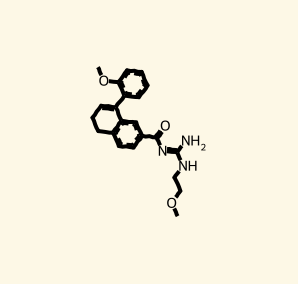 COCCN/C(N)=N/C(=O)c1ccc2c(c1)C(c1ccccc1OC)=CCC2